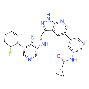 O=C(Nc1cncc(-c2cnc3[nH]nc(-c4nc5c(C6C=CC=CC6F)cncc5[nH]4)c3c2)c1)C1CC1